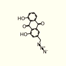 [N-]=[N+]=NCc1cc(O)c2c(c1)C(=O)c1cccc(O)c1C2=O